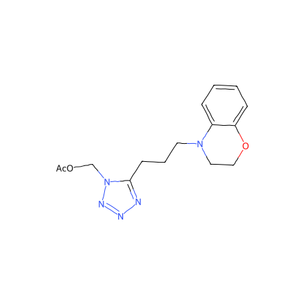 CC(=O)OCn1nnnc1CCCN1CCOc2ccccc21